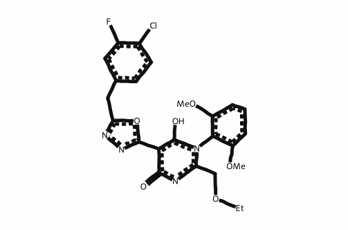 CCOCc1nc(=O)c(-c2nnc(Cc3ccc(Cl)c(F)c3)o2)c(O)n1-c1c(OC)cccc1OC